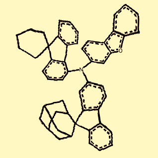 c1ccc2c(c1)-c1c(N(c3ccc4c(c3)C3(c5ccccc5-4)C4CC5CC(C4)CC3C5)c3ccc4c(c3)oc3ccccc34)cccc1C21CCCCC1